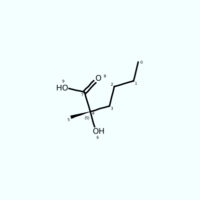 CCCC[C@](C)(O)C(=O)O